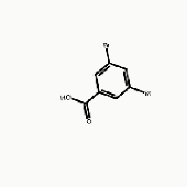 O=C(O)c1[c]c(Br)cc(Br)c1